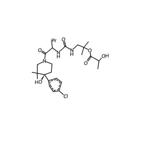 CC(O)C(=O)OC(C)(C)CNC(=O)NC(C(=O)N1CC[C@](O)(c2ccc(Cl)cc2)C(C)(C)C1)C(C)C